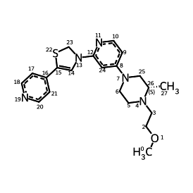 COCCN1CCN(c2ccnc(N3C=C(c4ccncc4)SC3)c2)C[C@@H]1C